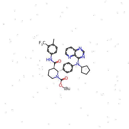 Cc1ccc(NC(=O)[C@@H]2CCCN(C(=O)OC(C)(C)C)[C@H]2c2ccc(N(c3ncnc4cccnc34)C3CCCC3)cc2)cc1C(F)(F)F